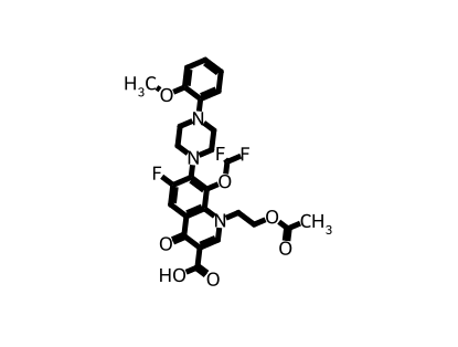 COc1ccccc1N1CCN(c2c(F)cc3c(=O)c(C(=O)O)cn(CCOC(C)=O)c3c2OC(F)F)CC1